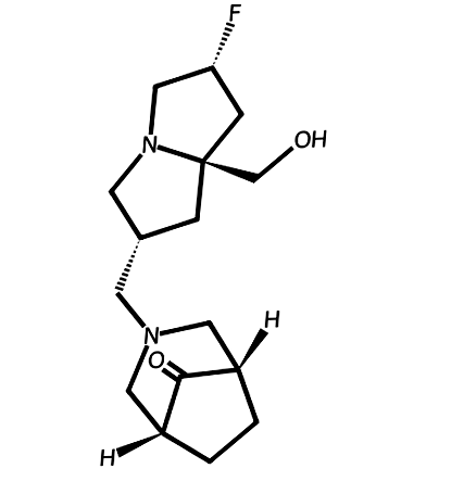 O=C1[C@@H]2CC[C@H]1CN(C[C@@H]1CN3C[C@H](F)C[C@]3(CO)C1)C2